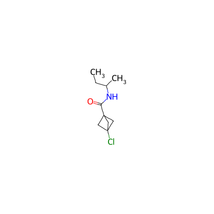 CCC(C)NC(=O)C12CC(Cl)(C1)C2